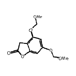 COCOc1cc(OCOC)c2c(c1)OC(=O)C2